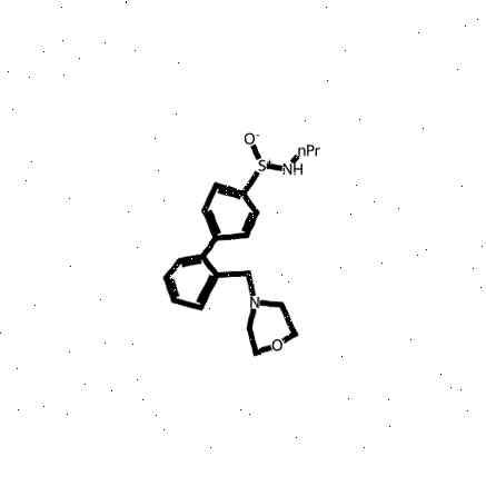 CCCN[S+]([O-])c1ccc(-c2ccccc2CN2CCOCC2)cc1